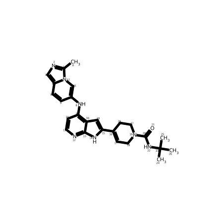 Cc1ncc2ccc(Nc3ccnc4[nH]c(C5=CCN(C(=O)NC(C)(C)C)CC5)cc34)cn12